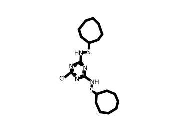 Clc1nc(NSC2CCCCCCC2)nc(NSC2CCCCCCC2)n1